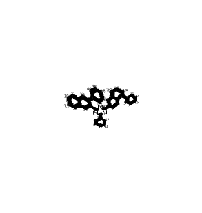 c1ccc(-c2nc(-c3ccc4c(-c5ccccc5)cccc4c3)nc(-c3cc4ccccc4cc3-c3ccccc3)n2)cc1